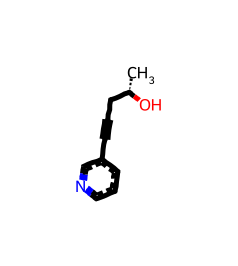 C[C@H](O)CC#Cc1cccnc1